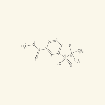 COC(=O)c1ccc2c(c1)S(=O)(=O)C(C)(C)C2